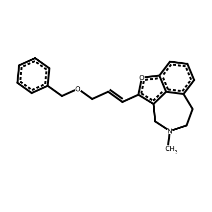 CN1CCc2cccc3oc(C=CCOCc4ccccc4)c(c23)C1